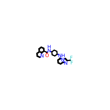 O=C(NC1CCC(Nc2cccc3nc(C(F)F)cn23)CC1)c1cccc2cccnc12